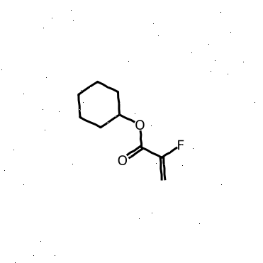 C=C(F)C(=O)OC1CCCCC1